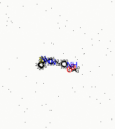 CC(C)(C)OC(=O)N[C@H]1CC[C@@H](CCN2CCN(c3nsc4ccccc34)CC2)CC1